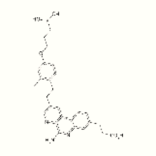 Cc1cc(OCCCP(O)O)ccc1CCc1cnc2c(N)nc3cc(CCC(=O)O)ccc3c2c1